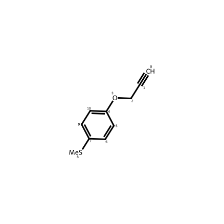 C#CCOc1ccc(SC)cc1